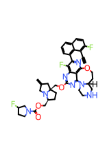 C#Cc1c(F)ccc2cccc(-c3nc4c5c(nc(OC[C@@]67CC[C@@H](COC(=O)N8CCC(F)C8)N6CC(=C)C7)nc5c3F)N3CCNC[C@H]3CCO4)c12